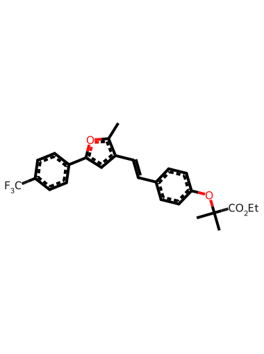 CCOC(=O)C(C)(C)Oc1ccc(C=Cc2cc(-c3ccc(C(F)(F)F)cc3)oc2C)cc1